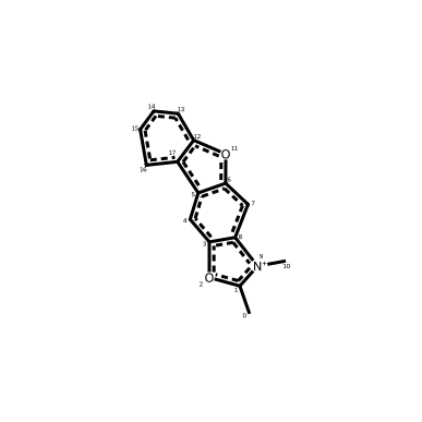 Cc1oc2cc3c(cc2[n+]1C)oc1ccccc13